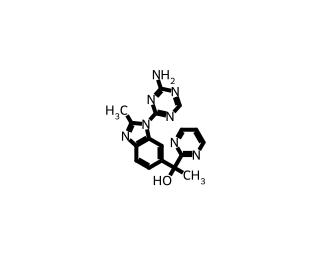 Cc1nc2ccc(C(C)(O)c3ncccn3)cc2n1-c1ncnc(N)n1